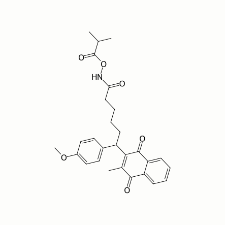 COc1ccc(C(CCCCC(=O)NOC(=O)C(C)C)C2=C(C)C(=O)c3ccccc3C2=O)cc1